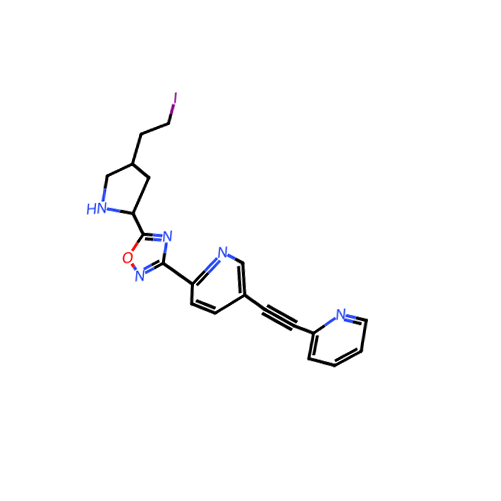 ICCC1CNC(c2nc(-c3ccc(C#Cc4ccccn4)cn3)no2)C1